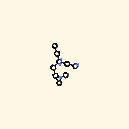 c1ccc(-c2ccc(-c3cc(-c4cccc(-c5ccc6c7ccccc7n(-c7ccccc7)c6c5)c4)nc(-c4ccc(-c5cccnc5)cc4)n3)cc2)cc1